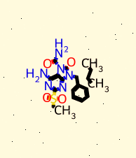 CCCC.CCS(=O)(=O)c1nc(N)c2c(n1)n(Cc1ccccc1)c(=O)n2C(N)=O